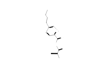 C=C(C)C(=O)OC(=O)c1ccc(CCCC)cn1